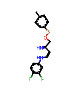 Cc1ccc(SOCC(=N)/C=C\Nc2ccc(F)c(F)c2)cc1